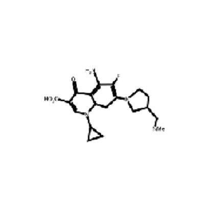 CNCC1CCN(C2=C(F)C(N)=C3C(=O)C(C(=O)O)=CN(C4CC4)C3C2)C1